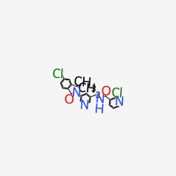 CC1(C)c2cc(Cl)ccc2C(=O)N1c1cncc(CNC(=O)c2cccnc2Cl)c1